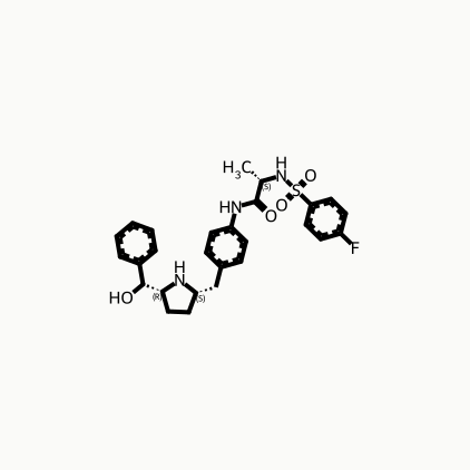 C[C@H](NS(=O)(=O)c1ccc(F)cc1)C(=O)Nc1ccc(C[C@@H]2CC[C@H](C(O)c3ccccc3)N2)cc1